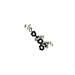 NS(=O)(=O)c1ccccc1-c1ccc2[nH]c(-c3ccc(OCC(F)(F)F)cc3)nc2c1